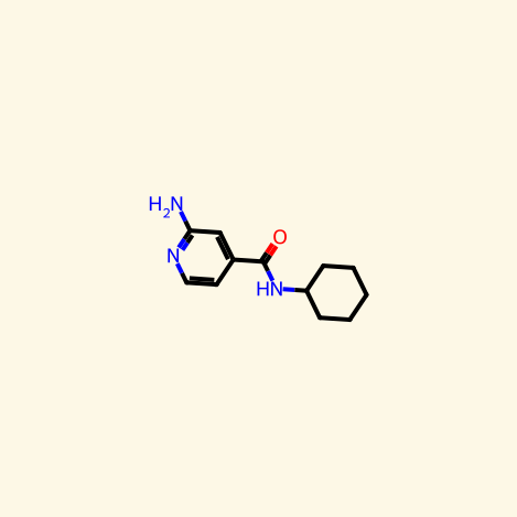 Nc1cc(C(=O)NC2CCCCC2)ccn1